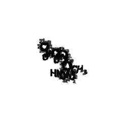 C[C@H]1CCC[N+]1(c1ccc(N2CCCC3(CCN(C(=O)c4ccccc4)CC3)C2=O)cc1)[C@H]1CCNC1